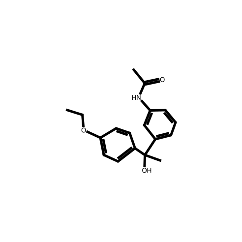 CCOc1ccc(C(C)(O)c2cccc(NC(C)=O)c2)cc1